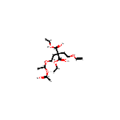 C=COCCC(CCOC(C)OC(C)=O)(C(=O)OCC)C(=O)OCC